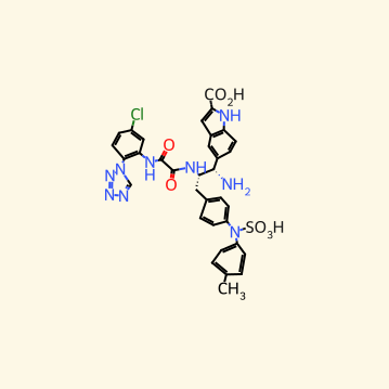 Cc1ccc(N(c2ccc(C[C@H](NC(=O)C(=O)Nc3cc(Cl)ccc3-n3cnnn3)[C@@H](N)c3ccc4[nH]c(C(=O)O)cc4c3)cc2)S(=O)(=O)O)cc1